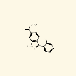 COC(=O)c1ccc2c(-c3ccccc3Cl)n[nH]c2c1